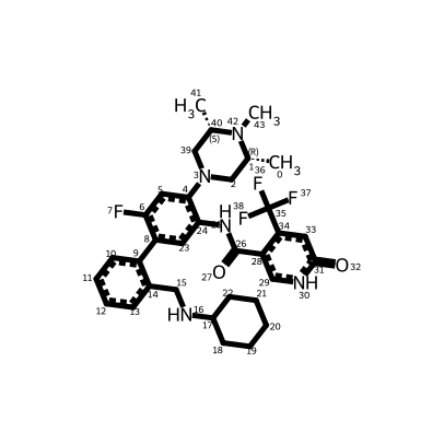 C[C@@H]1CN(c2cc(F)c(-c3ccccc3CNC3CCCCC3)cc2NC(=O)c2c[nH]c(=O)cc2C(F)(F)F)C[C@H](C)N1C